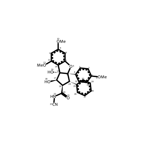 COc1ccc([C@@]23Oc4cc(OC)cc(OC)c4[C@]2(O)[C@H](O)[C@H](C(=O)NC#N)[C@H]3c2ccccc2)cc1